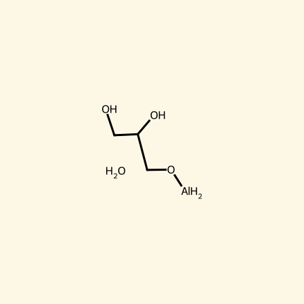 O.OCC(O)C[O][AlH2]